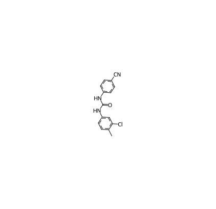 Cc1ccc(NC(=O)Nc2ccc(C#N)cc2)cc1Cl